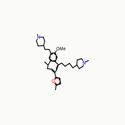 COc1cc2c(cc1CCC1CCN(C)CC1)C(C)C/C=C(c1ccc(C)o1)/C=C\2CCCCC1CCN(C)CC1